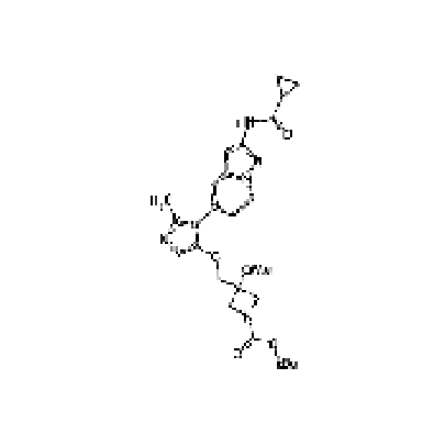 COC1(COc2cnn(C)c2-c2ccn3nc(NC(=O)C4CC4)cc3c2)CN(C(=O)OC(C)(C)C)C1